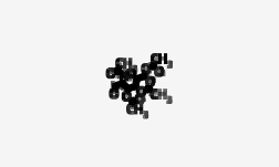 CC(=O)NC(C=O)C(OC(C)=O)C(OC(C)=O)C(O)COC(C)=O